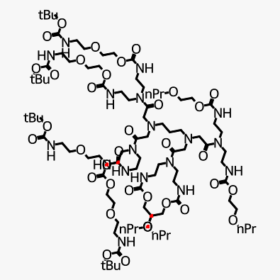 CCCOCCOC(=O)NCCN(CCNC(=O)OCCOCCC)C(=O)CN(CCCN(CC(=O)N(CCNC(=O)OCCOCCNC(=O)OC(C)(C)C)CCNC(=O)OCCOCCNC(=O)OC(C)(C)C)CC(=O)N(CCNC(=O)OCCOCCNC(=O)OC(C)(C)C)CCNC(=O)OCCOCCNC(=O)OC(C)(C)C)CC(=O)N(CCNC(=O)OCCOCCC)CCNC(=O)OCCOCCC